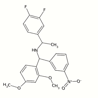 COc1ccc(C(NC(C)c2ccc(F)c(F)c2)c2cccc([N+](=O)[O-])c2)c(OC)c1